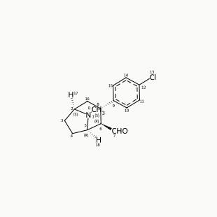 CN1[C@H]2CC[C@@H]1[C@H](C=O)[C@@H](c1ccc(Cl)cc1)C2